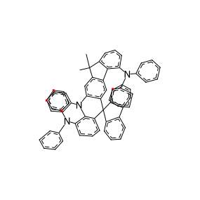 CC1(C)c2cc3c(cc2-c2c(N(c4ccccc4)c4ccccc4)cccc21)C1(c2ccccc2-c2ccccc21)c1cccc(N(c2ccccc2)c2ccccc2)c1N3c1ccccc1